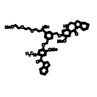 C=Nc1cc(OCc2cc(COc3cc4c(cc3OC)C(=O)N3c5ccccc5CC3CN4)cc(N(CCCC)CCOCCOCCOC)c2)c(OC)cc1C(=O)N1CCc2ccccc21